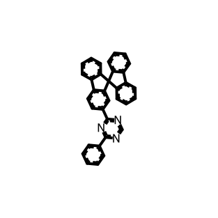 c1ccc(-c2ncnc(-c3ccc4c(c3)C3(c5ccccc5-c5ccccc53)c3ccccc3-4)n2)cc1